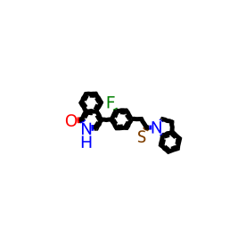 O=c1[nH]cc(-c2ccc(CC(=S)N3CCc4ccccc43)cc2F)c2ccccc12